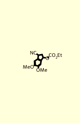 CCOC(=O)OC1CC(C#N)c2cc(OC)c(OC)cc21